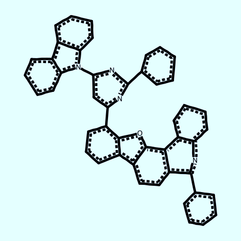 c1ccc(-c2nc(-c3cccc4c3oc3c4ccc4c(-c5ccccc5)nc5ccccc5c43)cc(-n3c4ccccc4c4ccccc43)n2)cc1